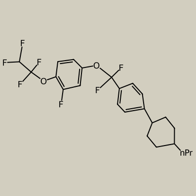 CCCC1CCC(c2ccc(C(F)(F)Oc3ccc(OC(F)(F)C(F)F)c(F)c3)cc2)CC1